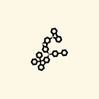 c1ccc(-c2ccc(N(c3ccc4c(c3)C(c3ccccc3)(c3ccccc3)c3ccccc3-4)c3ccc4sc5ccc(-n6c7ccccc7c7ccccc76)cc5c4c3)cc2)cc1